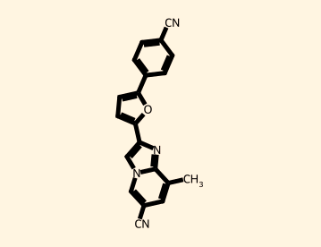 Cc1cc(C#N)cn2cc(-c3ccc(-c4ccc(C#N)cc4)o3)nc12